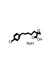 O=C(O)C1(CCCCCc2ccc(Cl)cc2)CO1.[NaH]